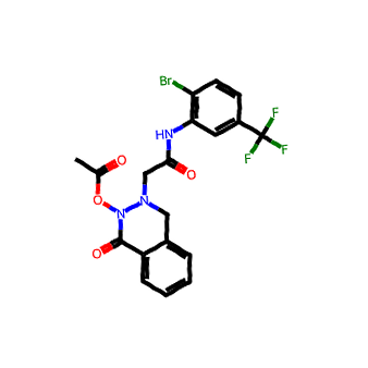 CC(=O)ON1C(=O)c2ccccc2CN1CC(=O)Nc1cc(C(F)(F)F)ccc1Br